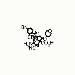 N#CC1(C(N)=O)CC1[C@@]1(C(=O)O)C[C@H](S(=O)(=O)c2ccc(Br)cc2C(F)(F)F)C[C@@H]1OC1CCOCC1